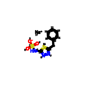 O=S(=O)([O-])Nc1nnc(Cc2ccccc2)s1.[Na+]